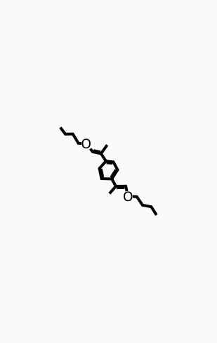 CCCCOC=C(C)c1ccc(C(C)=COCCCC)cc1